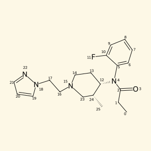 CCC(=O)N(c1ccccc1F)[C@H]1CCN(CCn2cccn2)C[C@H]1C